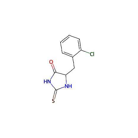 O=C1NC(=S)NC1Cc1ccccc1Cl